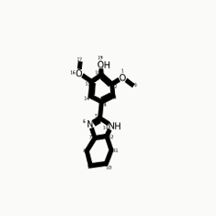 COc1cc(C2=NC3CCCCC3N2)cc(OC)c1O